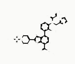 C=CC(=O)N(Cc1nccs1)c1cccc(-c2ccc(C(N)=O)c3[nH]c(C4=CCN(S(C)(=O)=O)CC4)cc23)c1C